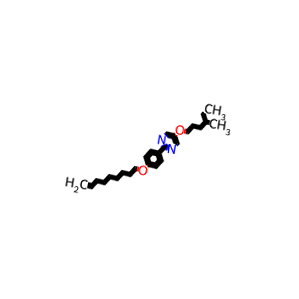 C=CCCCCCCCOc1ccc(-c2ncc(OCCCC(C)CC)cn2)cc1